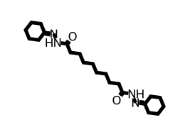 O=C(CCCCCCCCC(=O)NN=C1CCCCC1)NN=C1CCCCC1